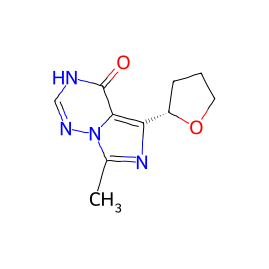 Cc1nc([C@@H]2CCCO2)c2c(=O)[nH]cnn12